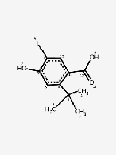 CC(C)(C)c1cc(O)c(I)cc1C(=O)O